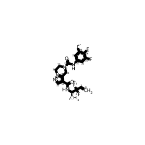 C=CC(F)(F)[C@@H](C)NC(=O)c1cnn2c1CN(C(=O)Nc1cc(F)c(F)c(I)c1)CC2